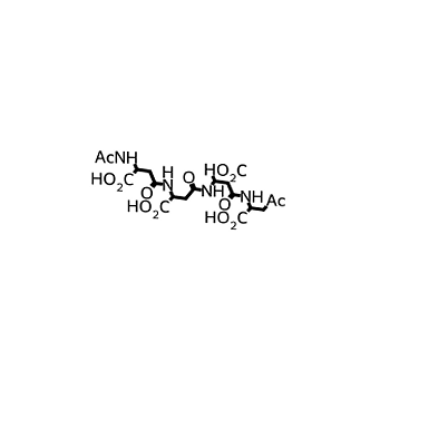 CC(=O)CC(NC(=O)CC(NC(=O)CC(NC(=O)CC(NC(C)=O)C(=O)O)C(=O)O)C(=O)O)C(=O)O